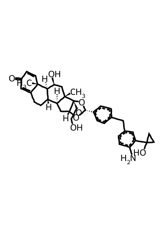 C[C@]12C=CC(=O)C=C1CC[C@@H]1[C@@H]2[C@@H](O)C[C@@]2(C)[C@H]1C[C@H]1O[C@@H](c3ccc(Cc4ccc(N)c(C5(O)CC5)c4)cc3)O[C@]12C(=O)CO